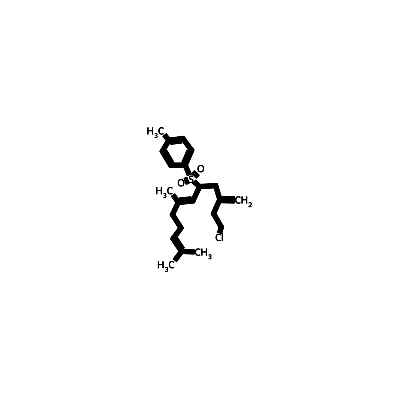 C=C(CCCl)CC(/C=C(\C)CCC=C(C)C)S(=O)(=O)c1ccc(C)cc1